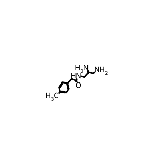 Cc1ccc(CC(=O)NCC(N)CN)cc1